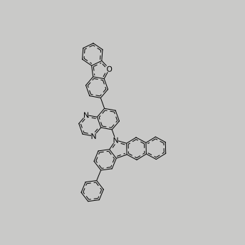 c1ccc(-c2ccc3c(c2)c2cc4ccccc4cc2n3-c2ccc(-c3ccc4c(c3)oc3ccccc34)c3nccnc23)cc1